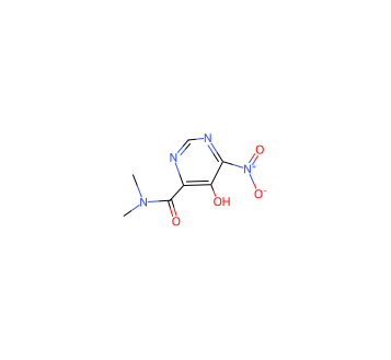 CN(C)C(=O)c1ncnc([N+](=O)[O-])c1O